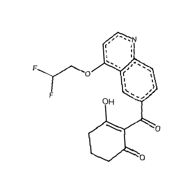 O=C1CCCC(O)=C1C(=O)c1ccc2nccc(OCC(F)F)c2c1